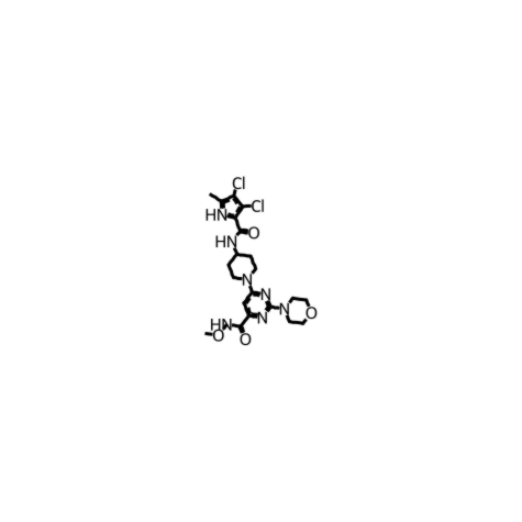 CONC(=O)c1cc(N2CCC(NC(=O)c3[nH]c(C)c(Cl)c3Cl)CC2)nc(N2CCOCC2)n1